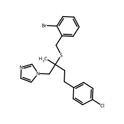 CC(CCc1ccc(Cl)cc1)(Cn1ccnc1)SCc1ccccc1Br